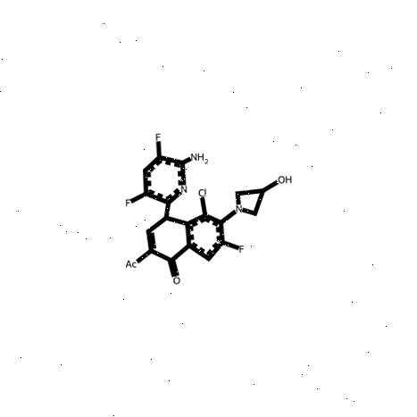 CC(=O)C1=CC(c2nc(N)c(F)cc2F)c2c(cc(F)c(N3CC(O)C3)c2Cl)C1=O